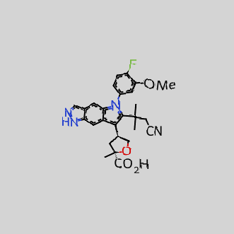 COc1cc(-n2c(C(C)(C)CC#N)c([C@H]3CO[C@](C)(C(=O)O)C3)c3cc4[nH]ncc4cc32)ccc1F